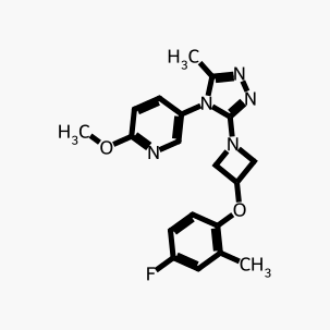 COc1ccc(-n2c(C)nnc2N2CC(Oc3ccc(F)cc3C)C2)cn1